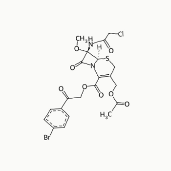 CO[C@@]1(NC(=O)CCl)C(=O)N2C(C(=O)OCC(=O)c3ccc(Br)cc3)=C(COC(C)=O)CS[C@@H]21